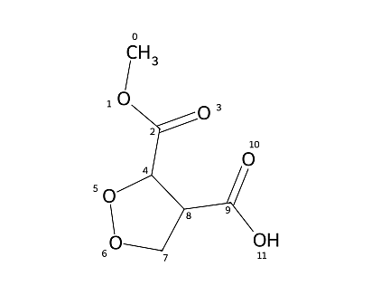 COC(=O)C1OOCC1C(=O)O